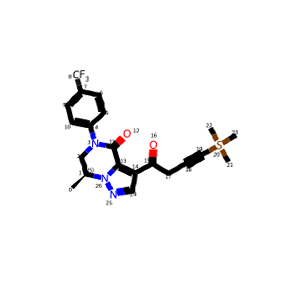 C[C@H]1CN(c2ccc(C(F)(F)F)cc2)C(=O)c2c(C(=O)CC#CS(C)(C)C)cnn21